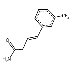 NC(=O)CC=Cc1cccc(C(F)(F)F)c1